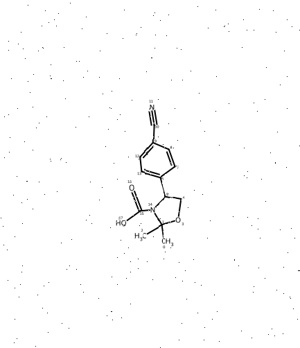 CC1(C)OCC(c2ccc(C#N)cc2)N1C(=O)O